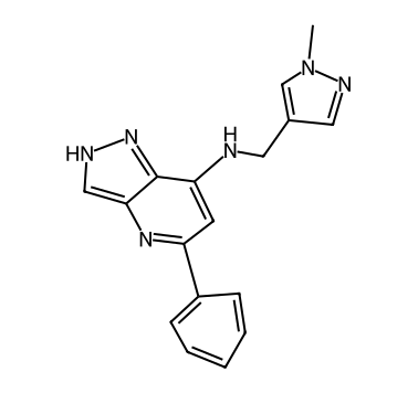 Cn1cc(CNc2cc(-c3ccccc3)nc3c[nH]nc23)cn1